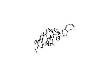 Cc1nc(S(=O)(=O)c2ccc3ccccc3c2)nc(Nc2cc(C3CC3)n[nH]2)c1C